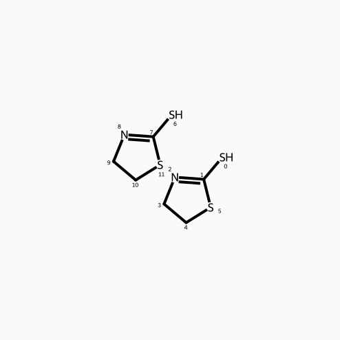 SC1=NCCS1.SC1=NCCS1